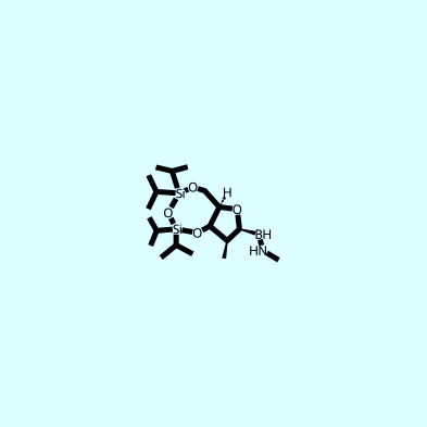 CNB[C@@H]1O[C@@H]2CO[Si](C(C)C)(C(C)C)O[Si](C(C)C)(C(C)C)OC2[C@@H]1C